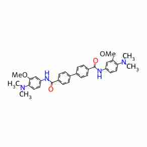 COc1cc(NC(=O)c2ccc(-c3ccc(C(=O)Nc4ccc(N(C)C)c(OC)c4)cc3)cc2)ccc1N(C)C